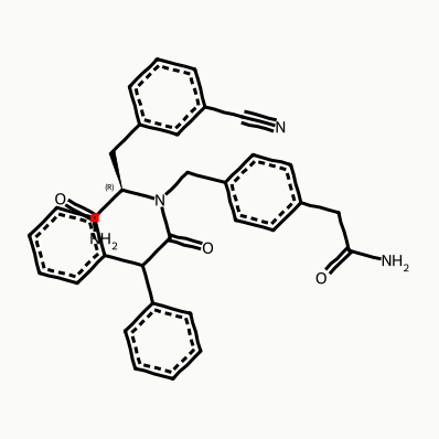 N#Cc1cccc(C[C@H](C(N)=O)N(Cc2ccc(CC(N)=O)cc2)C(=O)C(c2ccccc2)c2ccccc2)c1